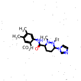 CCN1C(n2ccnc2)CCC(C(=O)Nc2cc(C)c(C)cc2C(=O)O)N1C